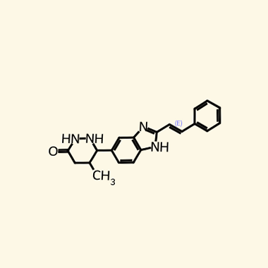 CC1CC(=O)NNC1c1ccc2[nH]c(/C=C/c3ccccc3)nc2c1